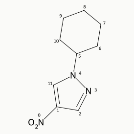 O=[N+]([O-])c1cnn(C2CCCCC2)c1